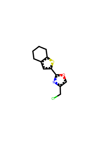 ClCc1coc(-c2cc3c(s2)CCCC3)n1